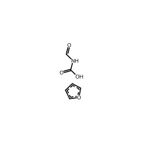 O=CNC(=O)O.c1ccoc1